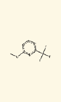 COc1cc[c]c(C(F)(F)F)n1